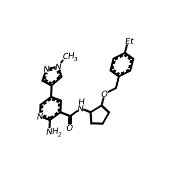 CCc1ccc(COC2CCCC2NC(=O)c2cc(-c3cnn(C)c3)cnc2N)cc1